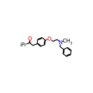 CC(C)C(=O)Cc1ccc(OCCN(C)Cc2ccccc2)cc1